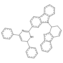 C1=Cc2c(sc3ccccc23)C(n2c3ccccc3c3ccc(C4=NC(c5ccccc5)=CC(c5ccccc5)N4)cc32)C1